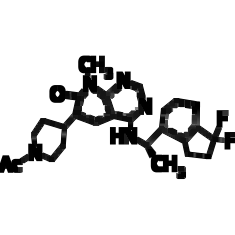 CC(=O)N1CCC(c2cc3c(N[C@H](C)c4cccc5c4CCC5(F)F)ncnc3n(C)c2=O)CC1